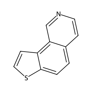 c1cc2ccc3sccc3c2cn1